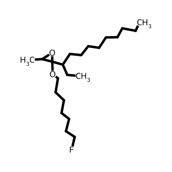 CCCCCCCCCC(CC)C1(OCCCCCCCF)OC1C